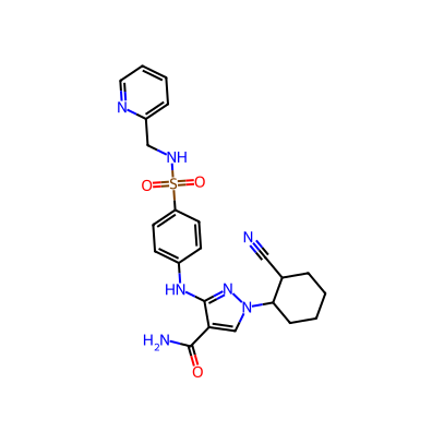 N#CC1CCCCC1n1cc(C(N)=O)c(Nc2ccc(S(=O)(=O)NCc3ccccn3)cc2)n1